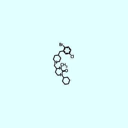 CN1C(=O)N(C2CCCCC2)CCC1CN1CCC(Cc2cc(Cl)ccc2Br)CC1